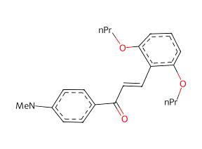 CCCOc1cccc(OCCC)c1C=CC(=O)c1ccc(NC)cc1